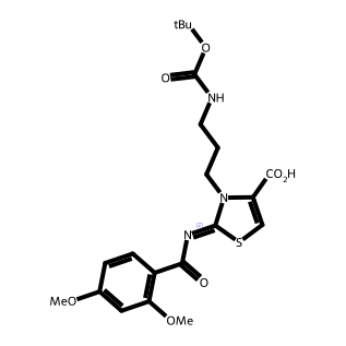 COc1ccc(C(=O)/N=c2\scc(C(=O)O)n2CCCNC(=O)OC(C)(C)C)c(OC)c1